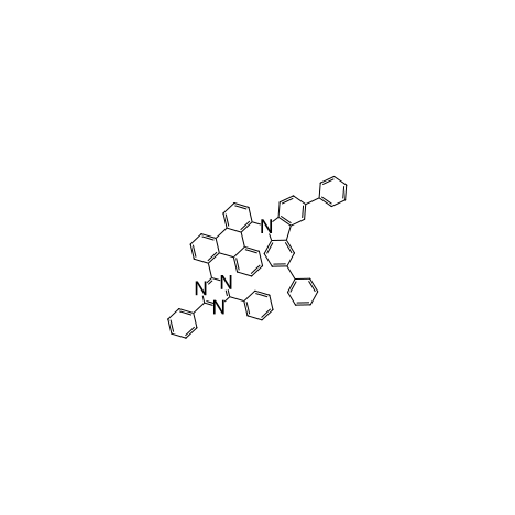 c1ccc(-c2ccc3c(c2)c2cc(-c4ccccc4)ccc2n3-c2cccc3c4cccc(-c5nc(-c6ccccc6)nc(-c6ccccc6)n5)c4c4ccccc4c23)cc1